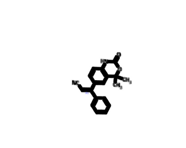 CC1(C)OC(=O)Nc2ccc(/C(=C\C#N)c3ccccc3)cc21